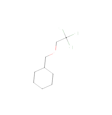 ClC(Cl)(Cl)COCC1CCCCC1